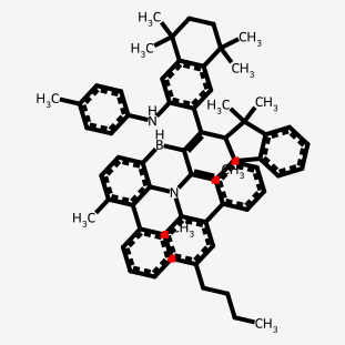 C/C=C1\C(=C(\c2cc3c(cc2Nc2ccc(C)cc2)C(C)(C)CCC3(C)C)C2Cc3ccccc3C2(C)C)Bc2ccc(C)c(-c3ccccc3C)c2N1c1ccc(CCCC)cc1-c1ccccc1